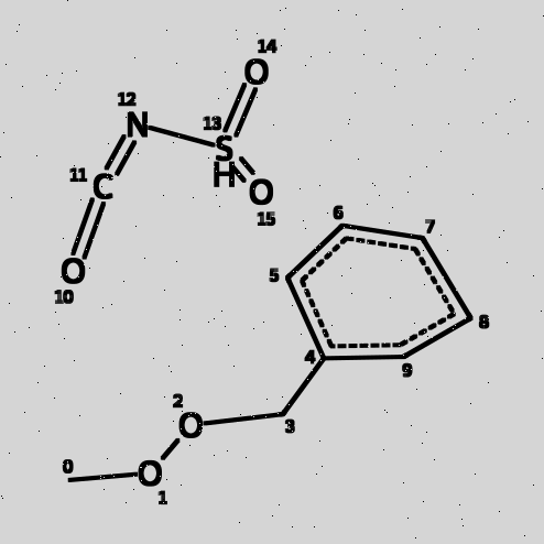 COOCc1ccccc1.O=C=N[SH](=O)=O